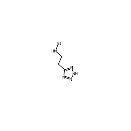 CCNCCc1nn[nH]n1